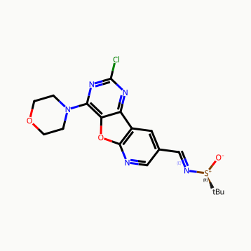 CC(C)(C)[S@+]([O-])/N=C/c1cnc2oc3c(N4CCOCC4)nc(Cl)nc3c2c1